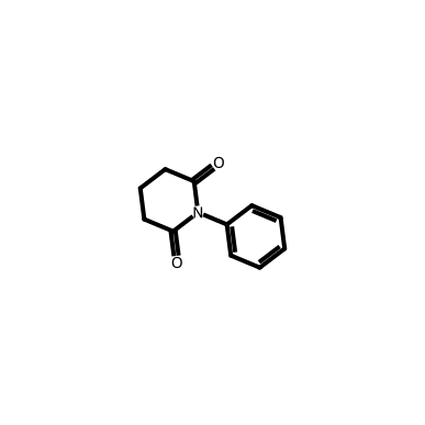 O=C1CCCC(=O)N1c1ccccc1